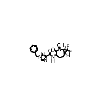 CN1C(=O)[C@@H](NC(=O)c2ncn(Cc3ccccc3)n2)CC[C@@H]2C1C2(F)F